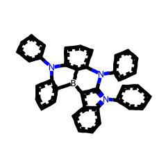 c1ccc(N2c3ccccc3B3c4c2cccc4N(c2ccccc2)c2c3c3ccccc3n2-c2ccccc2)cc1